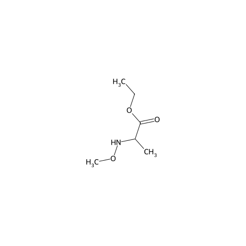 CCOC(=O)C(C)NOC